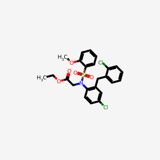 CCOC(=O)CN(c1ccc(Cl)cc1Cc1ccccc1Cl)S(=O)(=O)c1ccccc1OC